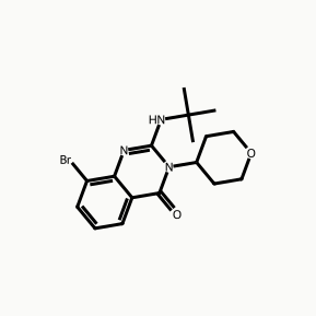 CC(C)(C)Nc1nc2c(Br)cccc2c(=O)n1C1CCOCC1